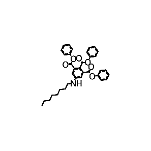 CCCCCCCCNc1cc(C(=O)Oc2ccccc2)c(C(=O)Oc2ccccc2)c(C(=O)Oc2ccccc2)c1